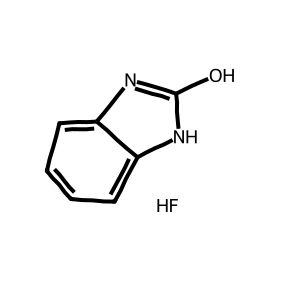 F.Oc1nc2ccccc2[nH]1